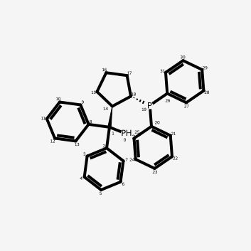 PC(c1ccccc1)(c1ccccc1)[C@H]1CCC[C@@H]1P(c1ccccc1)c1ccccc1